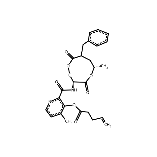 C=CCCC(=O)Oc1c(C)ccnc1C(=O)N[C@H]1COC(=O)C(Cc2ccccc2)C[C@H](C)OC1=O